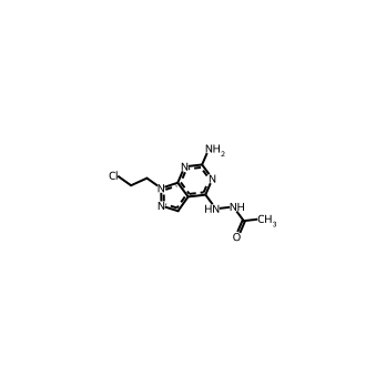 CC(=O)NNc1nc(N)nc2c1cnn2CCCl